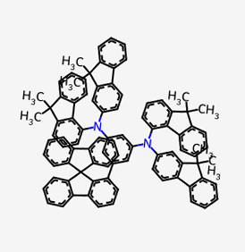 CC1(C)c2ccccc2-c2ccc(N(c3cc(-c4cccc5c4C4(c6ccccc6-c6ccccc64)c4ccccc4-5)cc(N(c4ccc5c(c4)C(C)(C)c4ccccc4-5)c4cccc5c4-c4ccccc4C5(C)C)c3)c3cccc4c3-c3ccccc3C4(C)C)cc21